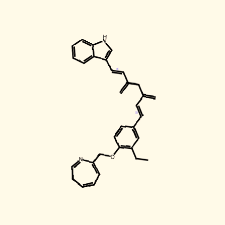 C=C(/C=C/c1ccc(OCC2=CC=CCC=N2)c(CC)c1)CC(=C)/C=C/c1c[nH]c2ccccc12